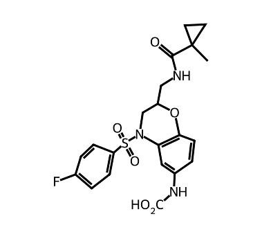 CC1(C(=O)NCC2CN(S(=O)(=O)c3ccc(F)cc3)c3cc(NC(=O)O)ccc3O2)CC1